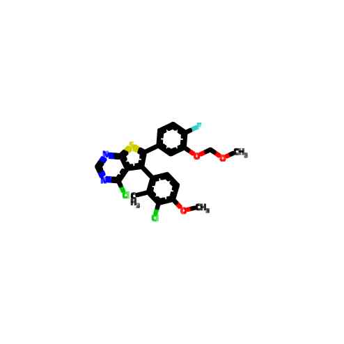 COCOc1cc(-c2sc3ncnc(Cl)c3c2-c2ccc(OC)c(Cl)c2C)ccc1F